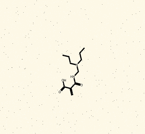 C=C(C(=O)O)C(=O)NCN(CCC)CCC